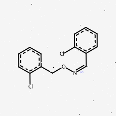 Clc1ccccc1/[C]=N\OCc1ccccc1Cl